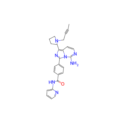 CC#CCN1CCCC1c1nc(-c2ccc(C(=O)Nc3ccccn3)cc2)n2c(N)nccc12